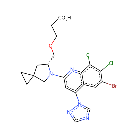 O=C(O)CCOC[C@H]1CC2(CC2)CN1c1cc(-n2cncn2)c2cc(Br)c(Cl)c(Cl)c2n1